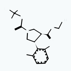 CCOC(=O)[C@@H]1CN(C(=O)OC(C)(C)C)C[C@@H]1c1c(F)cccc1Cl